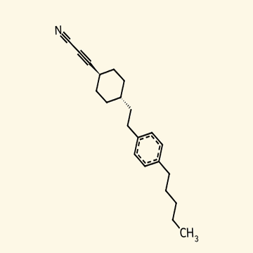 CCCCCc1ccc(CC[C@H]2CC[C@H](C#CC#N)CC2)cc1